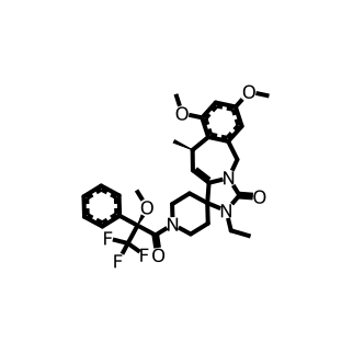 CCN1C(=O)N2Cc3cc(OC)cc(OC)c3[C@H](C)C=C2C12CCN(C(=O)[C@@](OC)(c1ccccc1)C(F)(F)F)CC2